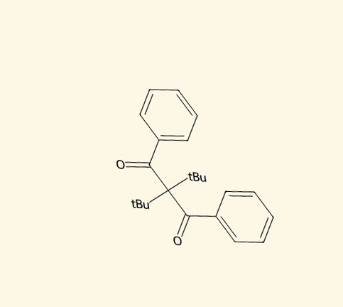 CC(C)(C)C(C(=O)c1ccccc1)(C(=O)c1ccccc1)C(C)(C)C